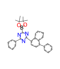 CC1(C)OB(c2nc(-c3ccccc3)nc(-c3ccc(-c4ccccc4)c4ccccc34)n2)OC1(C)C